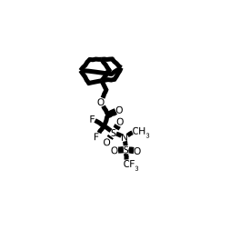 CN(S(=O)(=O)C(F)(F)F)S(=O)(=O)C(F)(F)C(=O)OCC12CC3CC(CC(C3)C1)C2